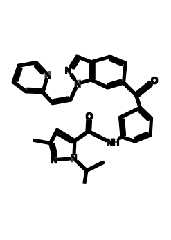 Cc1cc(C(=O)Nc2cccc(C(=O)c3ccc4cnn(C=Cc5ccccn5)c4c3)c2)n(C(C)C)n1